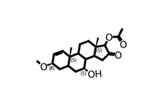 CO[C@H]1C=C[C@@]2(C)C(C1)C[C@H](O)C1C2CC[C@]2(C)C(OC(C)=O)C(=O)CC12